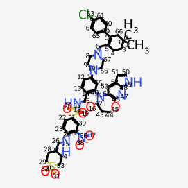 CC1(C)CCC(CN2CCN(c3ccc(C(=O)NS(=O)(=O)c4ccc(NCC5CCS(=O)(=O)CC5)c([N+](=O)[O-])c4)c(N4CCCOc5nc6[nH]ccc6cc54)c3)CC2)=C(c2ccc(Cl)cc2)C1